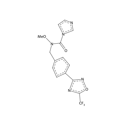 CON(Cc1ccc(-c2noc(C(F)(F)F)n2)cc1)C(=O)n1ccnc1